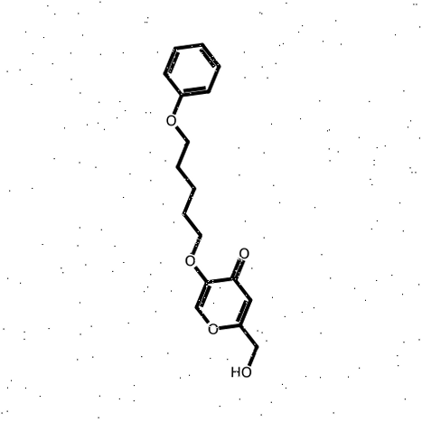 O=c1cc(CO)occ1OCCCCCOc1ccccc1